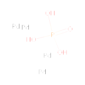 O=P(O)(O)O.[Pd].[Pd].[Pd].[Pd]